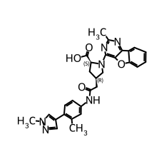 Cc1nc(N2C[C@@H](CC(=O)Nc3ccc(-c4cnn(C)c4)c(C)c3)C[C@H]2C(=O)O)c2oc3ccccc3c2n1